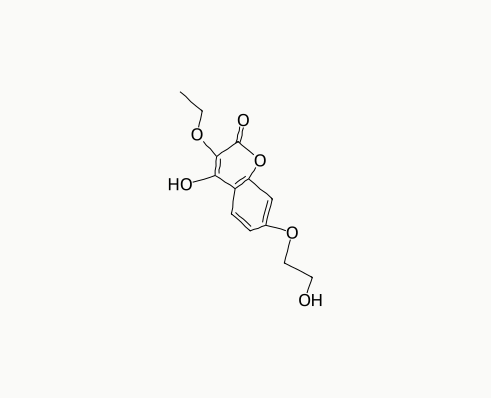 CCOc1c(O)c2ccc(OCCO)cc2oc1=O